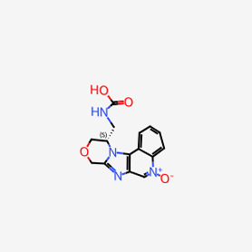 O=C(O)NC[C@H]1COCc2nc3c[n+]([O-])c4ccccc4c3n21